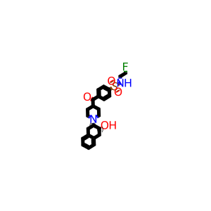 O=C(c1ccc(S(=O)(=O)NCCF)cc1)C1CCN([C@@H]2Cc3ccccc3C[C@H]2O)CC1